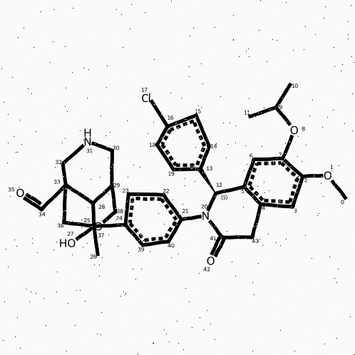 COc1cc2c(cc1OC(C)C)[C@H](c1ccc(Cl)cc1)N(c1ccc(C(C)(O)C3C4CNCC3(C=O)COC4)cc1)C(=O)C2